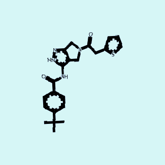 CC(C)(C)c1ccc(C(=O)Nc2[nH]nc3c2CN(C(=O)Cc2cccs2)C3)cc1